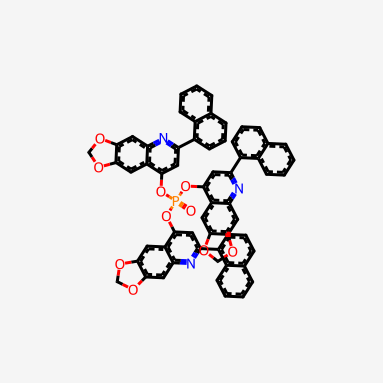 O=P(Oc1cc(-c2cccc3ccccc23)nc2cc3c(cc12)OCO3)(Oc1cc(-c2cccc3ccccc23)nc2cc3c(cc12)OCO3)Oc1cc(-c2cccc3ccccc23)nc2cc3c(cc12)OCO3